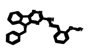 CCCOc1ccccc1C=NNc1nnc2c3ccccc3n(Cc3ccccc3)c2n1